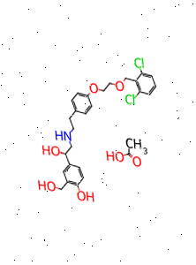 CC(=O)O.OCc1cc([C@@H](O)CNCCc2ccc(OCCOCc3c(Cl)cccc3Cl)cc2)ccc1O